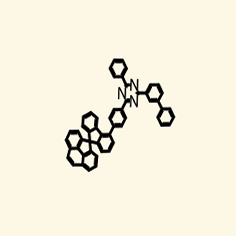 c1ccc(-c2cccc(-c3nc(-c4ccccc4)nc(-c4ccc(-c5cccc6c5-c5ccccc5C65c6cccc7ccc8cccc5c8c67)cc4)n3)c2)cc1